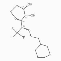 O[C@@H]1[C@@H]([C@@H](OCCC2CCCCC2)C(F)(F)F)OCC[C@H]1O